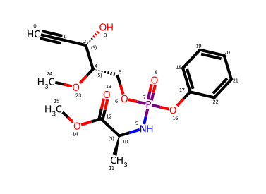 C#C[C@H](O)[C@H](COP(=O)(N[C@@H](C)C(=O)OC)Oc1ccccc1)OC